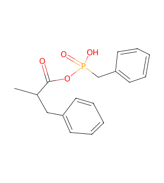 CC(Cc1ccccc1)C(=O)OP(=O)(O)Cc1ccccc1